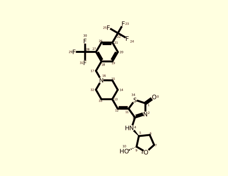 O=C1N=C(N[C@H]2CCO[C@@H]2O)/C(=C/C2CCN(Cc3ccc(C(F)(F)F)cc3C(F)(F)F)CC2)S1